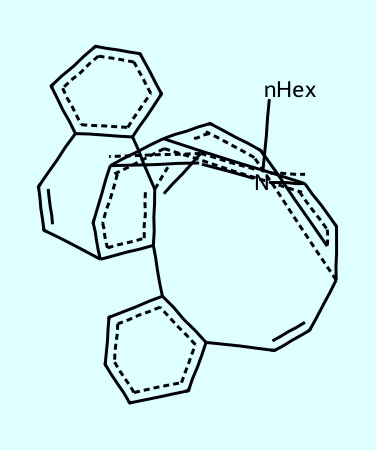 CCCCCCn1c2cc3ccc2c2cc4c(c(c21)-c1ccccc1C=C4)-c1ccccc1C=C3